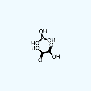 O=C(O)C(=O)O.OP(O)O